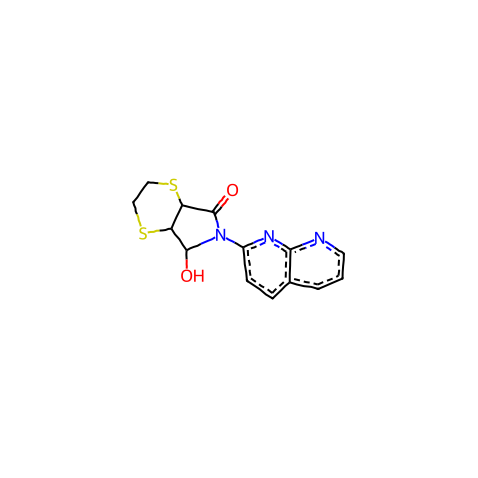 O=C1C2SCCSC2C(O)N1c1ccc2cccnc2n1